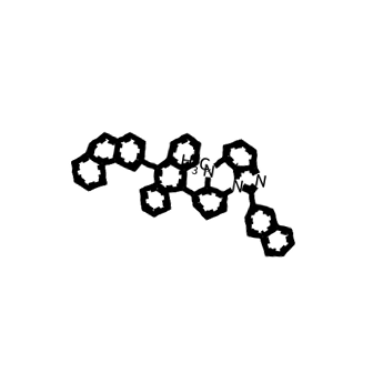 CN1c2c(-c3c4ccccc4c(-c4ccc5ccc6ccccc6c5c4)c4ccccc34)cccc2-n2c(-c3ccc4ccccc4c3)nc3cccc1c32